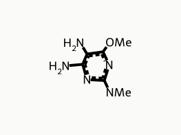 CNc1nc(N)c(N)c(OC)n1